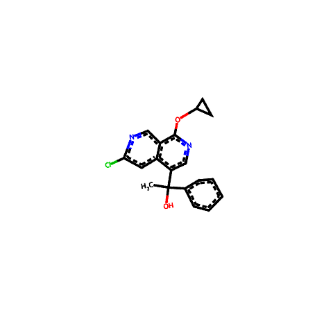 CC(O)(c1ccccc1)c1cnc(OC2CC2)c2cnc(Cl)cc12